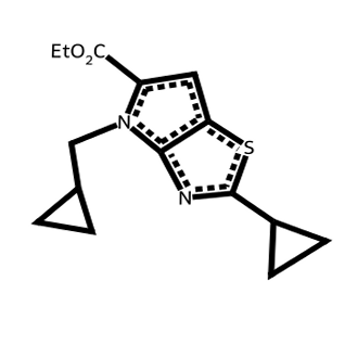 CCOC(=O)c1cc2sc(C3CC3)nc2n1CC1CC1